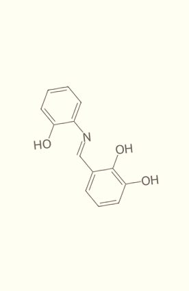 Oc1ccccc1N=Cc1cccc(O)c1O